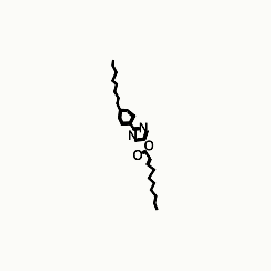 CCCCCCCC=CC(=O)Oc1cnc(-c2ccc(CCCCCCCC)cc2)nc1